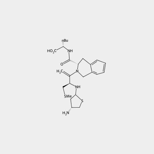 C=C([C@H](CSC)NC1C[C@@H](N)CS1)N1Cc2ccccc2C[C@H]1C(=O)N[C@@H](CCCC)C(=O)O